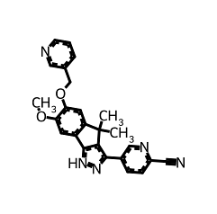 COc1cc2c(cc1OCc1cccnc1)C(C)(C)c1c(-c3ccc(C#N)nc3)n[nH]c1-2